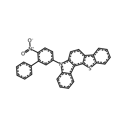 O=[N+]([O-])c1ccc(-n2c3ccccc3c3c4sc5ccccc5c4ccc32)cc1-c1ccccc1